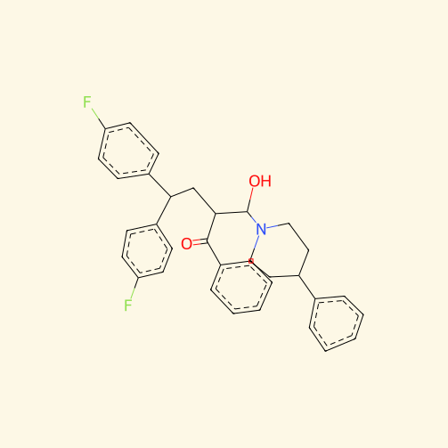 O=C(c1ccccc1)C(CC(c1ccc(F)cc1)c1ccc(F)cc1)C(O)N1CCC(c2ccccc2)CC1